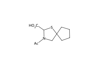 CC(=O)N1CC2(CCCC2)SC1C(=O)O